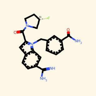 N=C(N)c1ccc2cc(C(=O)N3CC[C@H](F)C3)n(Cc3cccc(C(N)=O)c3)c2c1